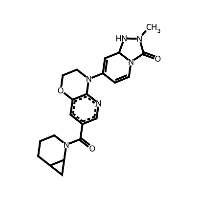 CN1NC2C=C(N3CCOc4cc(C(=O)N5CCCC6CC65)cnc43)C=CN2C1=O